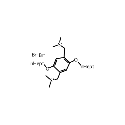 CCCCCCCOc1cc(C[S+](C)C)c(OCCCCCCC)cc1C[S+](C)C.[Br-].[Br-]